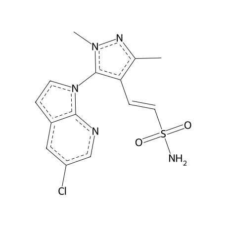 Cc1nn(C)c(-n2ccc3cc(Cl)cnc32)c1C=CS(N)(=O)=O